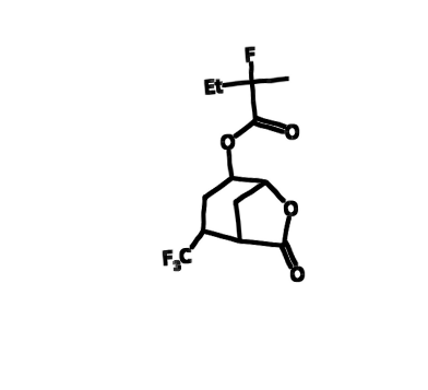 CCC(C)(F)C(=O)OC1CC(C(F)(F)F)C2CC1OC2=O